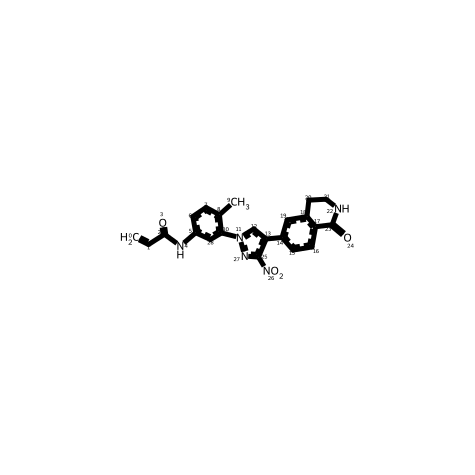 C=CC(=O)Nc1ccc(C)c(-n2cc(-c3ccc4c(c3)CCNC4=O)c([N+](=O)[O-])n2)c1